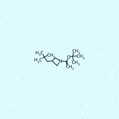 C=C(OC(C)(C)C)N1CC(CC(C)(C)C)C1